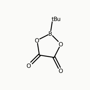 CC(C)(C)B1OC(=O)C(=O)O1